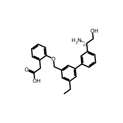 CCc1cc(COc2ccccc2CC(=O)O)cc(-c2cccc([C@H](N)CO)c2)c1